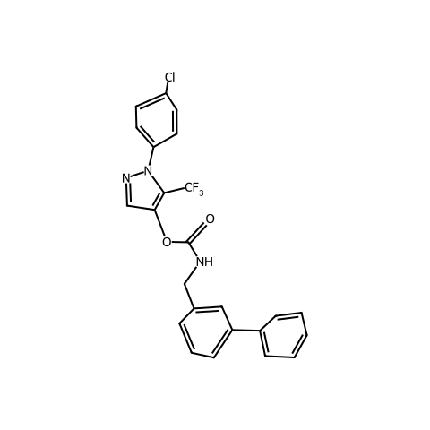 O=C(NCc1cccc(-c2ccccc2)c1)Oc1cnn(-c2ccc(Cl)cc2)c1C(F)(F)F